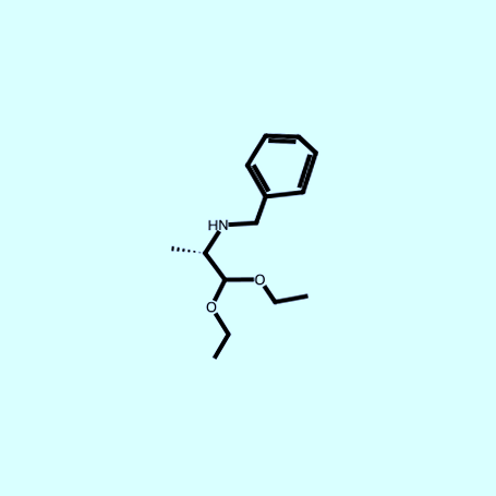 CCOC(OCC)[C@H](C)NCc1ccccc1